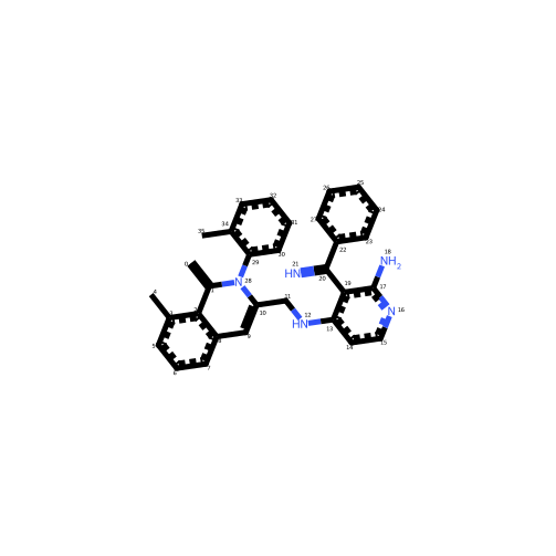 C=C1c2c(C)cccc2C=C(CNc2ccnc(N)c2C(=N)c2ccccc2)N1c1ccccc1C